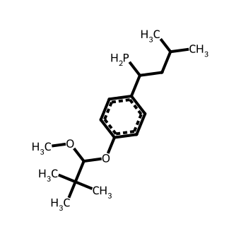 COC(Oc1ccc(C(P)CC(C)C)cc1)C(C)(C)C